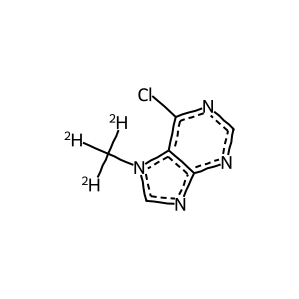 [2H]C([2H])([2H])n1cnc2ncnc(Cl)c21